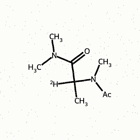 [2H]C(C)(C(=O)N(C)C)N(C)C(C)=O